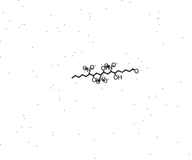 CCCCCC(C(O)CC(C(O)CC(C(O)CCCC[C]=O)[N+](=O)[O-])[N+](=O)[O-])[N+](=O)[O-]